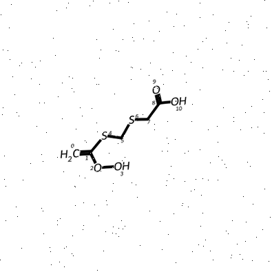 C=C(OO)SCSCC(=O)O